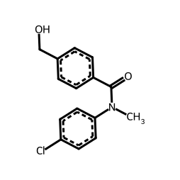 CN(C(=O)c1ccc(CO)cc1)c1ccc(Cl)cc1